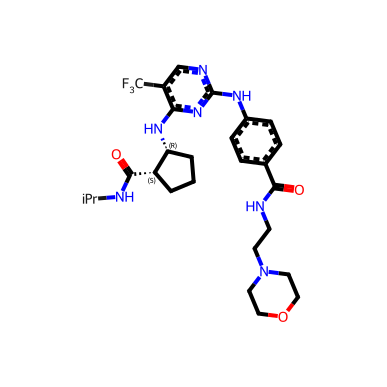 CC(C)NC(=O)[C@H]1CCC[C@H]1Nc1nc(Nc2ccc(C(=O)NCCN3CCOCC3)cc2)ncc1C(F)(F)F